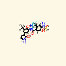 COc1c(NC(=O)c2ccc(NS(C)(=O)=O)cc2C(F)(F)F)cc(-c2ccc[nH]c2=O)cc1C(C)(C)C